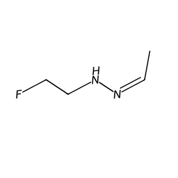 C/C=N\NCCF